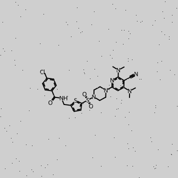 CN(C)c1cc(N2CCN(S(=O)(=O)c3ccc(CNC(=O)c4ccc(Cl)cc4)s3)CC2)nc(N(C)C)c1C#N